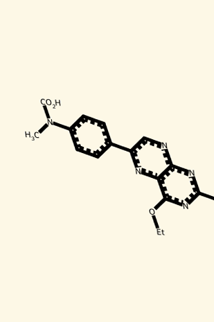 CCOc1nc(N)nc2ncc(-c3ccc(N(C)C(=O)O)cc3)nc12